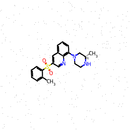 Cc1ccccc1S(=O)(=O)c1cnc2c(N3CCN[C@@H](C)C3)cccc2c1